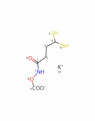 O=C(CCC(S)S)NOC(=O)[O-].[K+]